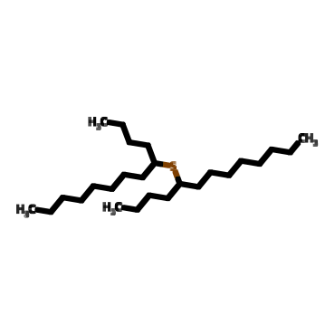 CCCCCCCCC(CCCC)SC(CCCC)CCCCCCCC